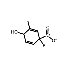 CC1=CC(F)([N+](=O)[O-])C=CC1O